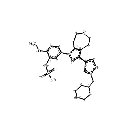 COc1ncc(-n2nc(-c3cnn(CC4CCNCC4)c3)c3c2CCOCC3)cc1NS(C)(=O)=O